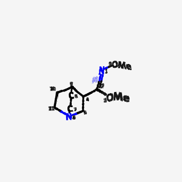 CO/N=C(\OC)C1CN2CCC1CC2